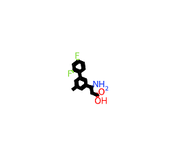 Cc1cc(-c2ccc(F)cc2F)cc([C@@H](N)CC(=O)O)c1